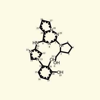 OCC1CCCN1c1nc(Nc2cn(-c3cccc(O)c3O)cn2)c2cccn2n1